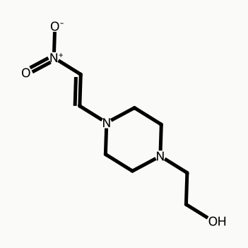 O=[N+]([O-])C=CN1CCN(CCO)CC1